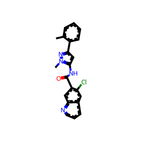 Cc1ccccc1-c1cc(NC(=O)c2cc3ncccc3cc2Cl)n(C)n1